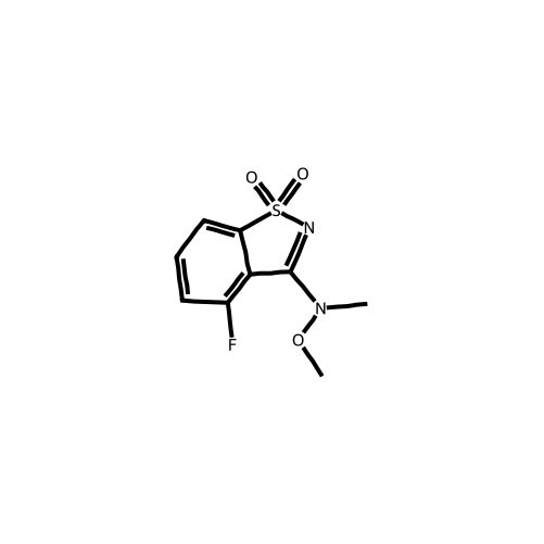 CON(C)C1=NS(=O)(=O)c2cccc(F)c21